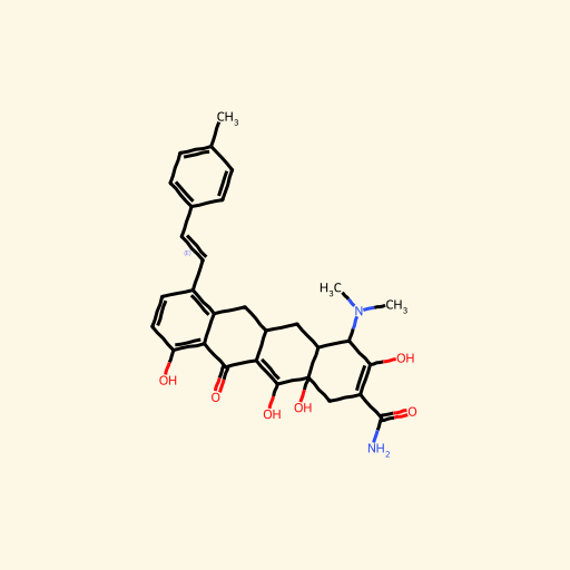 Cc1ccc(/C=C/c2ccc(O)c3c2CC2CC4C(N(C)C)C(O)=C(C(N)=O)CC4(O)C(O)=C2C3=O)cc1